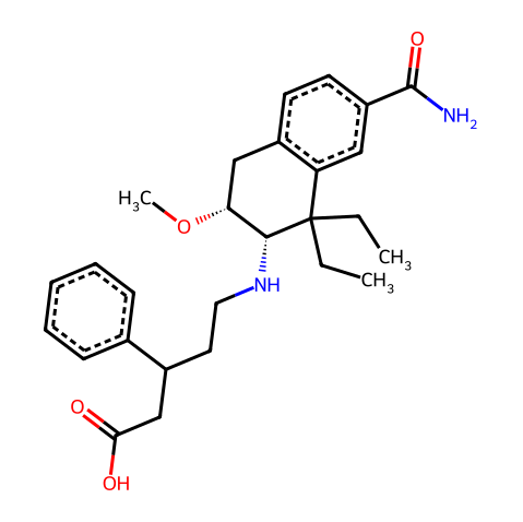 CCC1(CC)c2cc(C(N)=O)ccc2C[C@@H](OC)[C@H]1NCCC(CC(=O)O)c1ccccc1